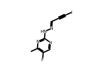 Cc1nc(NN=CC#CI)ncc1F